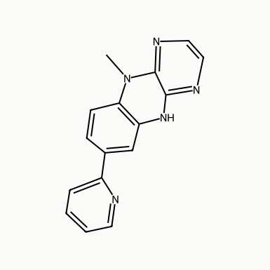 CN1c2ccc(-c3ccccn3)cc2Nc2nccnc21